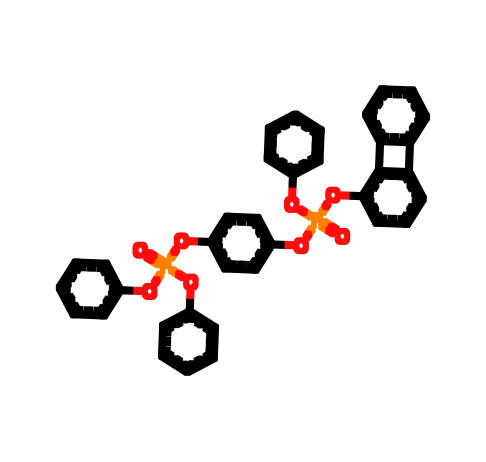 O=P(Oc1ccccc1)(Oc1ccccc1)Oc1ccc(OP(=O)(Oc2ccccc2)Oc2cccc3c2-c2ccccc2-3)cc1